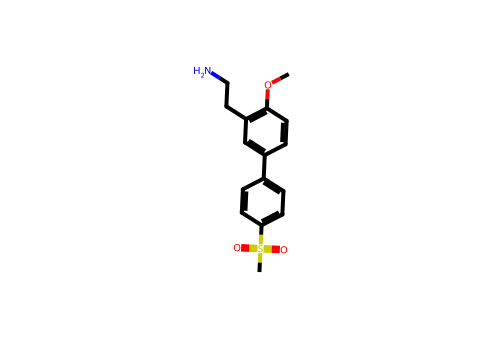 COc1ccc(-c2ccc(S(C)(=O)=O)cc2)cc1CCN